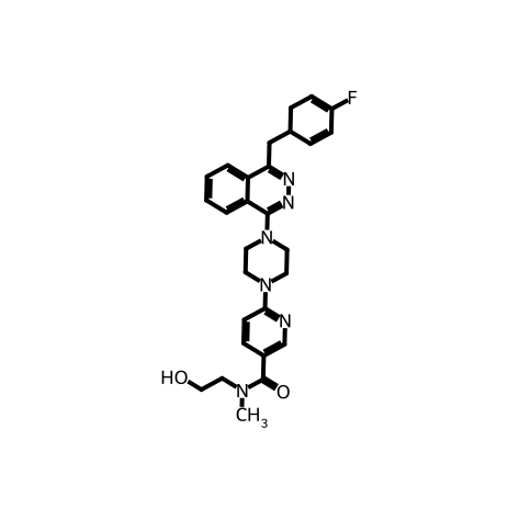 CN(CCO)C(=O)c1ccc(N2CCN(c3nnc(CC4C=CC(F)=CC4)c4ccccc34)CC2)nc1